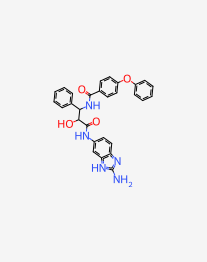 Nc1nc2ccc(NC(=O)C(O)C(NC(=O)c3ccc(Oc4ccccc4)cc3)c3ccccc3)cc2[nH]1